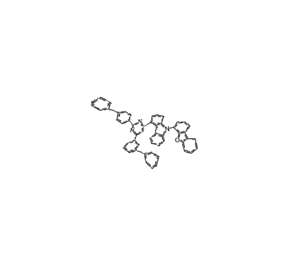 c1ccc(-c2ccc(-c3nc(-c4cccc(-c5ccccc5)c4)cc(-c4cccc5c4c4ccccc4n5-c4cccc5c4oc4ccccc45)n3)cc2)cc1